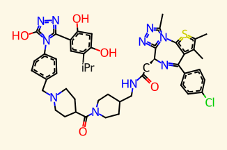 Cc1sc2c(c1C)C(c1ccc(Cl)cc1)=N[C@@H](CC(=O)NCC1CCN(C(=O)C3CCN(Cc4ccc(-n5c(O)nnc5-c5cc(C(C)C)c(O)cc5O)cc4)CC3)CC1)c1nnc(C)n1-2